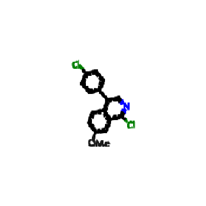 COc1ccc2c(-c3ccc(Cl)cc3)cnc(Cl)c2c1